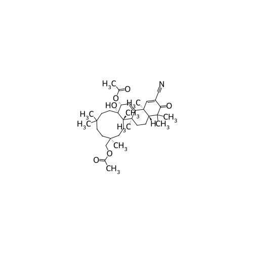 CC(=O)OC[C@@]1(C)CCC(C)(C)CC[C@@]2(O)[C@H](OC(C)=O)C=C3[C@@]4(C)C=C(C#N)C(=O)C(C)(C)[C@@H]4CC[C@@]3(C)[C@]2(C)CC1